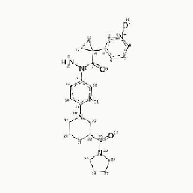 NN(C(=O)C1(c2ccc[n+]([O-])c2)CC1)c1ccc(N2CCCC(C(=O)N3CCCC3)C2)nc1